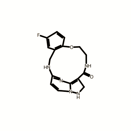 O=C1NCCOc2ccc(F)cc2CNC2=NC3=C1CNN3C=C2